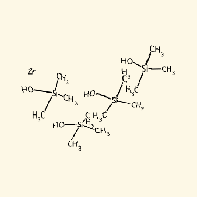 C[Si](C)(C)O.C[Si](C)(C)O.C[Si](C)(C)O.C[Si](C)(C)O.[Zr]